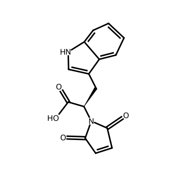 O=C(O)[C@@H](Cc1c[nH]c2ccccc12)N1C(=O)C=CC1=O